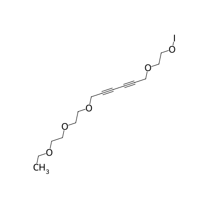 CCOCCOCCOCC#CC#CCOCCOI